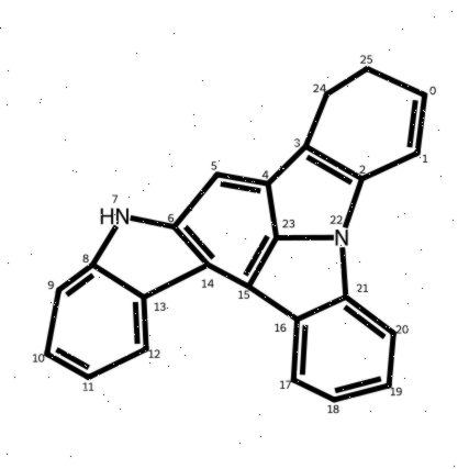 C1=Cc2c(c3cc4[nH]c5ccccc5c4c4c5ccccc5n2c34)CC1